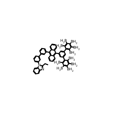 Bc1c(B)c(B)c(-c2cc(-c3c(B)c(B)c(B)c(B)c3B)cc(-c3c4ccccc4c(-c4cccc(-c5cccc(-n6c(CC)nc7ccccc76)c5)c4)c4ccccc34)c2)c(B)c1B